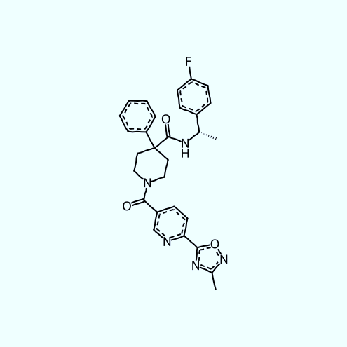 Cc1noc(-c2ccc(C(=O)N3CCC(C(=O)N[C@@H](C)c4ccc(F)cc4)(c4ccccc4)CC3)cn2)n1